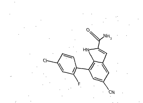 N#Cc1cc(-c2ccc(Cl)cc2F)c2[nH]c(C(N)=O)cc2c1